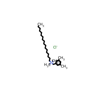 CCCCCCCCCCCCCCCCCC[N+](C)(C)Cc1cc(C)cc(C)c1.[Cl-]